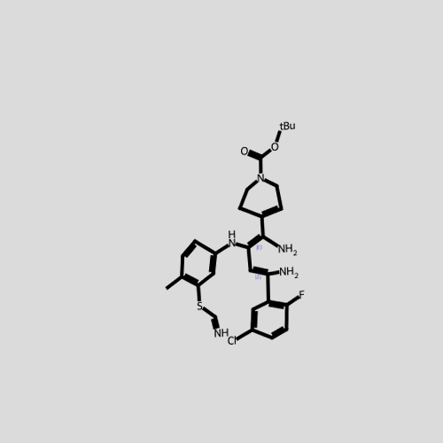 Cc1ccc(NC(/C=C(\N)c2cc(Cl)ccc2F)=C(/N)C2=CCN(C(=O)OC(C)(C)C)CC2)cc1SC=N